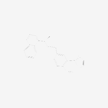 COc1ccc(CN[C@H](C)c2cccc3ccccc23)cc1-c1nccs1